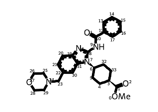 COC(=O)[C@H]1CC[C@@H](n2c(NC(=O)c3ccccc3)nc3ccc(CN4CCOCC4)cc32)CC1